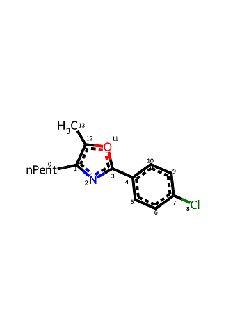 [CH2]CCCCc1nc(-c2ccc(Cl)cc2)oc1C